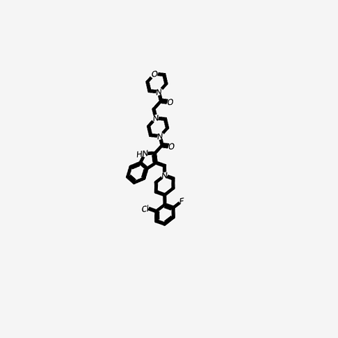 O=C(CN1CCN(C(=O)c2[nH]c3ccccc3c2CN2CCC(c3c(F)cccc3Cl)CC2)CC1)N1CCOCC1